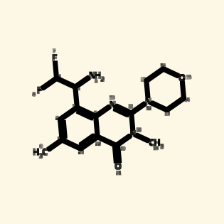 Cc1cc(C(N)C(F)F)c2nc(N3CCOCC3)n(C)c(=O)c2c1